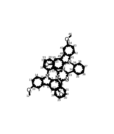 COc1ccc2c(c1)c1cc(OC)ccc1n2-c1ccccc1-c1nc(-c2ccccc2)nc(-c2ccccc2-n2c3ccc(OC)cc3c3cc(OC)ccc32)n1